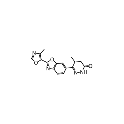 Cc1ncoc1-c1nc2ccc(C3=NNC(=O)CC3C)cc2o1